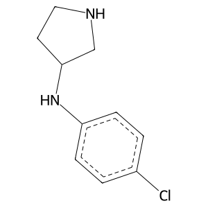 Clc1ccc(NC2CCNC2)cc1